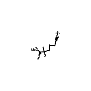 CCC#CCCCC(C)(C)C(=O)OC